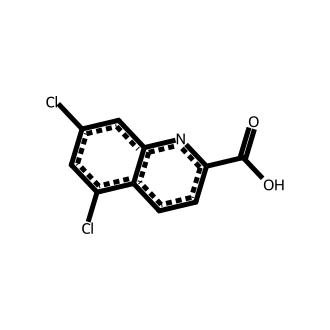 O=C(O)c1ccc2c(Cl)cc(Cl)cc2n1